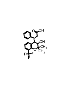 CC1(C)Oc2c(cccc2C(F)(F)F)C(N(CC(=O)O)c2ccccc2)C1O